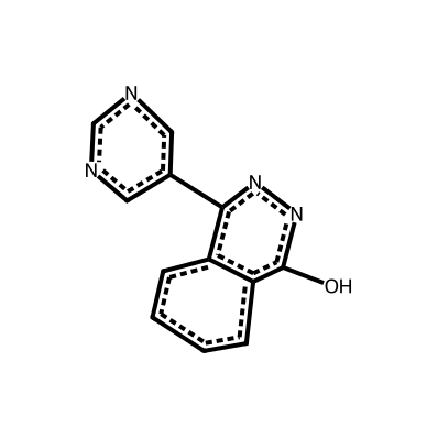 Oc1nnc(-c2cncnc2)c2ccccc12